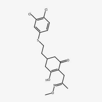 CON=C(C)CC1=C(O)CC(CCSc2ccc(Cl)c(Cl)c2)CC1=O